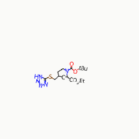 CCOC(=O)C1CC(CSc2nnn[nH]2)CCN1C(=O)OC(C)(C)C